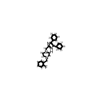 Fc1ccccc1CN1CCN(Cc2nc(-c3ccccc3)c(-c3ccccc3)[nH]2)CC1